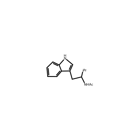 CC(=O)NC(Cc1c[nH]c2ccccc12)C(C)C